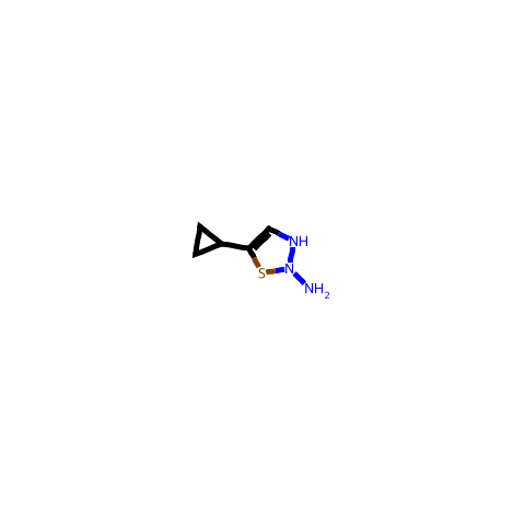 NN1NC=C(C2CC2)S1